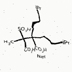 CC(C)CCC(CCC(C)C)(C(=O)O)C(C)(C(=O)O)S(=O)(=O)O.[NaH]